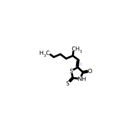 CCCCC(C)/C=C1\SC(=S)NC1=O